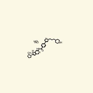 CN1CCC[C@@H]1c1cc2cnc(NC(=O)c3ccc(-c4cnn(CCCC5CCNCC5)c4)cc3)cc2[nH]1.Cl.Cl